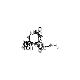 CC[C@H]1OC(=O)[C@H](C)[C@@H](O[C@H]2C[C@@](C)(OC)[C@@H](OCCCN)[C@H](C)O2)[C@H](C)[C@@H](O[C@@H]2O[C@H](C)C[C@H](N(C)C)[C@H]2O)[C@](C)(O)C[C@@H](C)CN(C)[C@H](C)[C@H]2OC(=O)O[C@@]21C